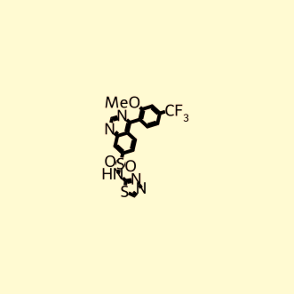 COc1cc(C(F)(F)F)ccc1-c1ncnc2cc(S(=O)(=O)Nc3nncs3)ccc12